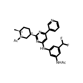 CC(=O)Nc1cc(Nc2cc(-c3cccnc3)nc([C@@H]3CC[C@H](C)N(C(C)=O)C3)n2)cc(C(F)F)c1